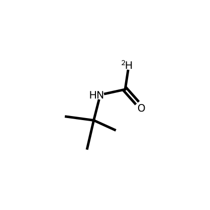 [2H]C(=O)NC(C)(C)C